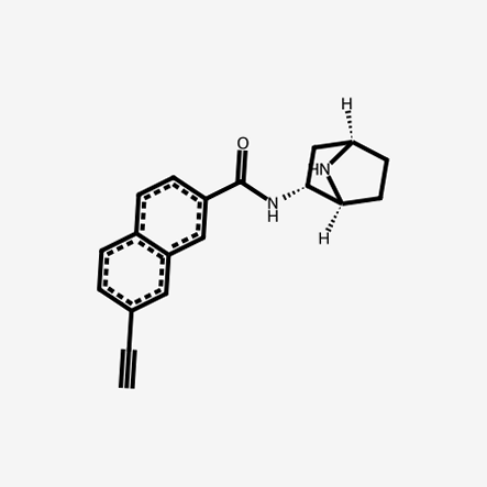 C#Cc1ccc2ccc(C(=O)N[C@@H]3C[C@H]4CC[C@@H]3N4)cc2c1